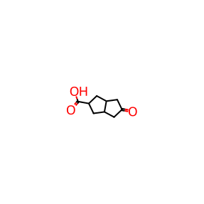 O=C1CC2CC(C(=O)O)CC2C1